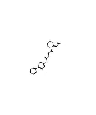 Cc1cc2n(n1)CCCN2C(=O)CCC(=O)Nc1cnc(-c2ccccc2)c(C)c1